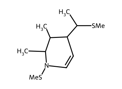 CSC(C)C1C=CN(SC)C(C)C1C